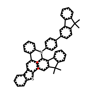 CC1(C)c2ccccc2-c2cc(-c3ccc(N(c4ccccc4-c4ccc5sc6ccccc6c5c4)c4cccc5c4-c4ccccc4C5(C)C)cc3)ccc21